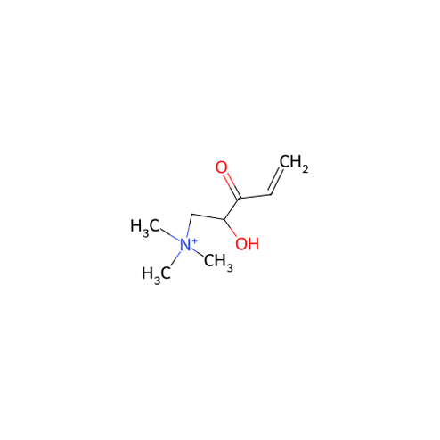 C=CC(=O)C(O)C[N+](C)(C)C